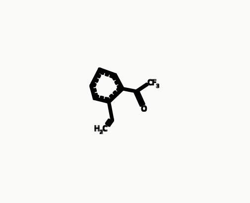 C=Cc1ccccc1C(=O)C(F)(F)F